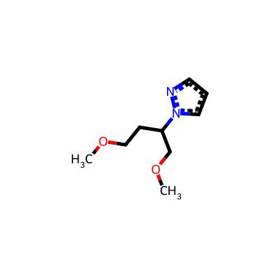 COCCC(COC)n1cccn1